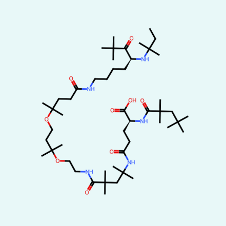 CCC(C)(C)N[C@@H](CCCCNC(=O)CCC(C)(C)OCCC(C)(C)OCCNC(=O)C(C)(C)CC(C)(C)NC(=O)CC[C@H](NC(=O)C(C)(C)CC(C)(C)C)C(=O)O)C(=O)C(C)(C)C